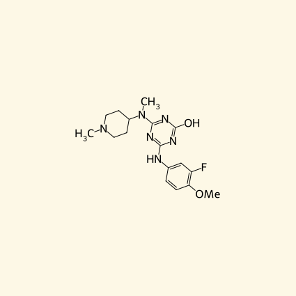 COc1ccc(Nc2nc(O)nc(N(C)C3CCN(C)CC3)n2)cc1F